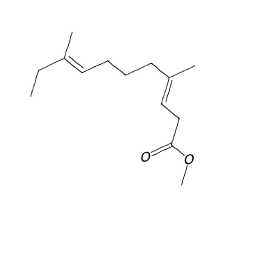 CCC(C)=CCCCC(C)=CCC(=O)OC